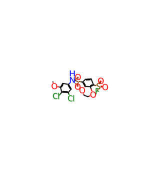 COc1cc(NS(=O)(=O)c2ccc(S(=O)(=O)F)c3c2OCCO3)cc(Cl)c1Cl